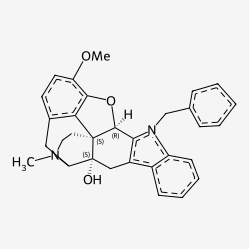 COc1ccc2c3c1O[C@H]1c4c(c5ccccc5n4Cc4ccccc4)C[C@@]4(O)C(C2)N(C)CC[C@]314